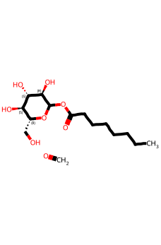 C=O.CCCCCCCC(=O)OC1O[C@H](CO)[C@@H](O)[C@H](O)[C@H]1O